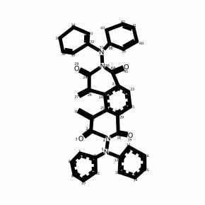 C=C1C(=O)N(N(c2ccccc2)c2ccccc2)C(=O)c2ccc3c(c21)C(=C)C(=O)N(N(C1=CCCC=C1)C1C=CC=CC1)C3=O